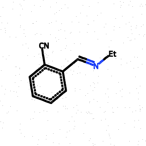 CC/N=C/c1ccccc1C#N